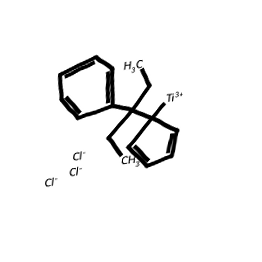 CCC(CC)(c1ccccc1)[C]1([Ti+3])C=CC=C1.[Cl-].[Cl-].[Cl-]